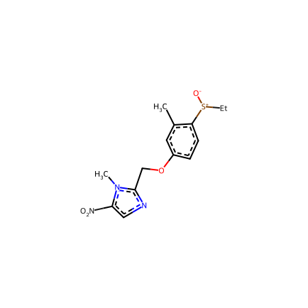 CC[S+]([O-])c1ccc(OCc2ncc([N+](=O)[O-])n2C)cc1C